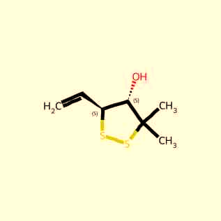 C=C[C@@H]1SSC(C)(C)[C@H]1O